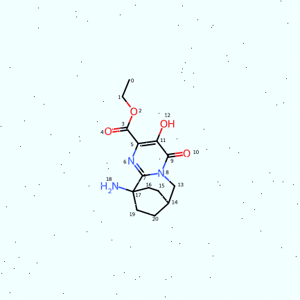 CCOC(=O)c1nc2n(c(=O)c1O)CC1CCC2(N)CC1